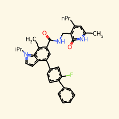 CCCc1cc(C)[nH]c(=O)c1CNC(=O)c1cc(-c2ccc(-c3ccccc3)c(F)c2)c2ccn(C(C)C)c2c1C